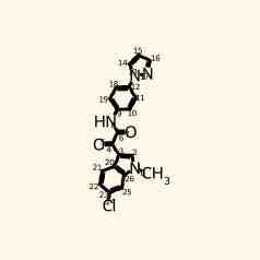 Cn1cc(C(=O)C(=O)Nc2ccc(-n3cccn3)cc2)c2ccc(Cl)cc21